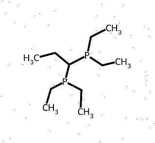 CCC(P(CC)CC)P(CC)CC